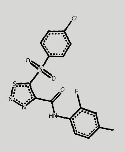 Cc1ccc(NC(=O)c2nnsc2S(=O)(=O)c2ccc(Cl)cc2)c(F)c1